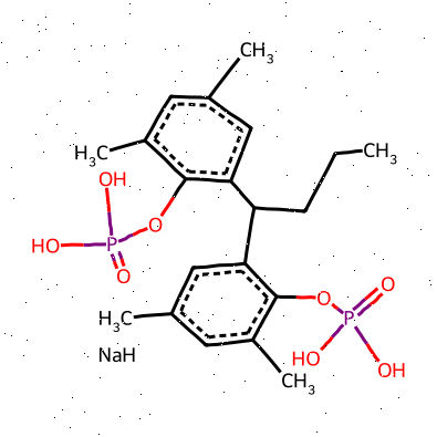 CCCC(c1cc(C)cc(C)c1OP(=O)(O)O)c1cc(C)cc(C)c1OP(=O)(O)O.[NaH]